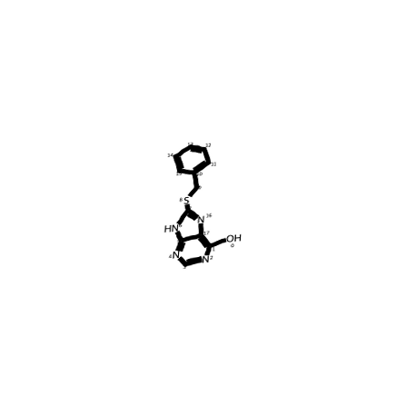 Oc1ncnc2[nH]c(SCc3ccccc3)nc12